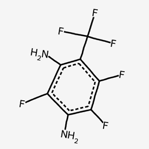 Nc1c(F)c(N)c(C(F)(F)F)c(F)c1F